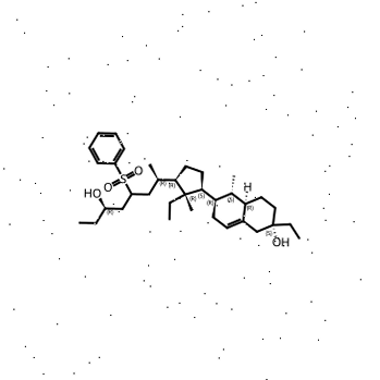 CC[C@@H](O)CC(C[C@@H](C)[C@H]1CC[C@@H]([C@@H]2CC=C3C[C@](O)(CC)CC[C@@H]3[C@H]2C)[C@]1(C)CC)S(=O)(=O)c1ccccc1